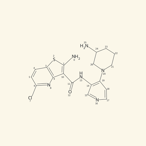 Nc1sc2ccc(Cl)nc2c1C(=O)Nc1cnccc1N1CCCC(N)C1